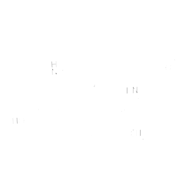 C=C(NC=O)c1ccc2c(O)c[nH]c2c1